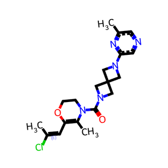 CC1=C(/C=C(\C)Cl)OCCN1C(=O)N1CC2(C1)CN(c1cncc(C)n1)C2